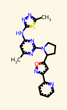 Cc1cc(Nc2nnc(C)s2)nc(N2CCCC2c2cc(-c3ccccn3)no2)n1